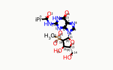 CC(C)C(=O)Nc1nc2c(ncn2[C@@H]2O[C@H](CO)C(O)C2S(C)(=O)=O)c(=O)[nH]1